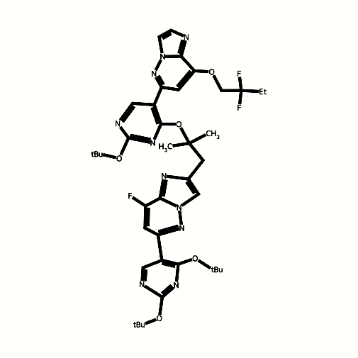 CCC(F)(F)COc1cc(-c2cnc(OC(C)(C)C)nc2OC(C)(C)Cc2cn3nc(-c4cnc(OC(C)(C)C)nc4OC(C)(C)C)cc(F)c3n2)nn2ccnc12